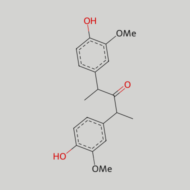 COc1cc(C(C)C(=O)C(C)c2ccc(O)c(OC)c2)ccc1O